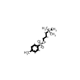 Cc1ccc(S(=O)(=O)OCCC[N+](C)(C)C)cc1